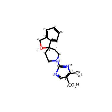 O=C(O)c1cnc(N2CCC3(CC2)OCc2ccccc23)nc1C(F)(F)F